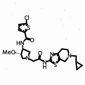 CO[C@H]1CN(CC(=O)Nc2nc3c(s2)CN(CC2CC2)CC3)C[C@@H]1NC(=O)c1ccc(Cl)s1